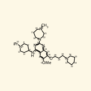 COc1cc2c(NC3CCN(C(C)C)CC3)nc(N3CCCN(C)CC3)nc2cc1OCCCN1CCCCC1